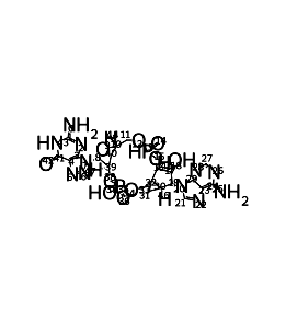 Nc1nc2c(nnn2[C@@H]2O[C@@H]3CO[PH](=O)O[C@H]4[C@@H](O)[C@H](n5cnc6c(N)ncnc65)[C@H]5C[C@]54COP(=O)(O)O[C@@H]2C3)c(=O)[nH]1